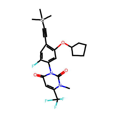 Cn1c(C(F)(F)F)cc(=O)n(-c2cc(OC3CCCC3)c(C#C[Si](C)(C)C)cc2F)c1=O